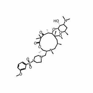 COc1cccc(S(=O)(=O)N2CCN(C[C@H]3[C@H](C)OC(=O)C(C)(C)C(=O)[C@H](C)[C@@H](O[C@@H]4O[C@H](C)C[C@H](N(C)C)[C@H]4O)[C@](C)(OC)C[C@@H](C)CN3C)CC2)c1